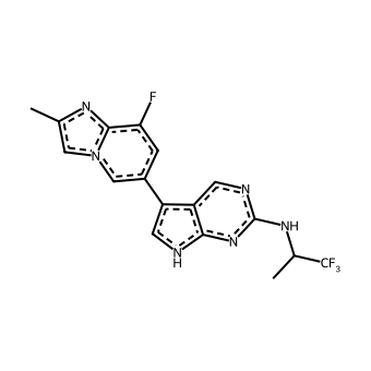 Cc1cn2cc(-c3c[nH]c4nc(NC(C)C(F)(F)F)ncc34)cc(F)c2n1